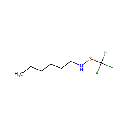 CCCCCCNSC(F)(F)F